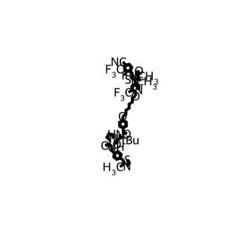 Cc1ncsc1-c1ccc(CNC(=O)[C@@H]2CCCN2C(=O)C(NC(=O)c2ccc(OCCCCCCOc3ncc(N4C(=S)N(c5ccc(C#N)c(C(F)(F)F)c5F)C(=O)C4(C)C)cc3C(F)(F)F)cc2)C(C)(C)C)cc1